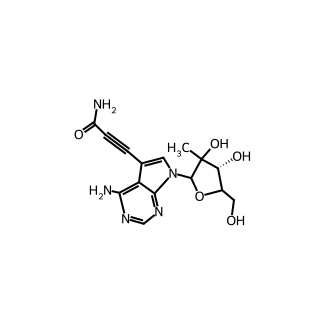 CC1(O)C(n2cc(C#CC(N)=O)c3c(N)ncnc32)OC(CO)[C@H]1O